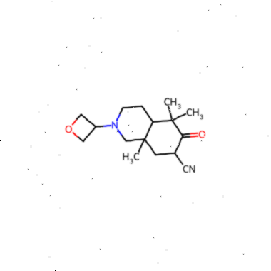 CC12CC(C#N)C(=O)C(C)(C)C1CCN(C1COC1)C2